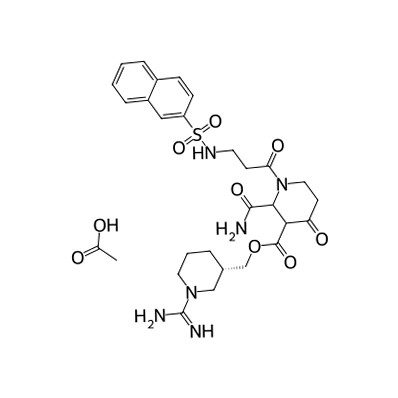 CC(=O)O.N=C(N)N1CCC[C@H](COC(=O)C2C(=O)CCN(C(=O)CCNS(=O)(=O)c3ccc4ccccc4c3)C2C(N)=O)C1